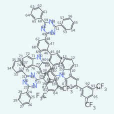 FC(F)(F)c1cc(-c2ccc3c(c2)c2ccccc2n3-c2ccc(-c3nc(-c4ccccc4)nc(-c4ccccc4)n3)cc2-c2cccc(-c3cc(-c4nc(-c5ccccc5)nc(-c5ccccc5)n4)ccc3-n3c4ccccc4c4cc(-c5cc(C(F)(F)F)cc(C(F)(F)F)c5)ccc43)c2)cc(C(F)(F)F)c1